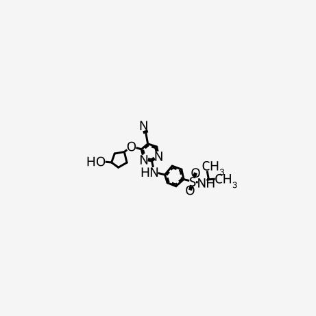 CC(C)NS(=O)(=O)c1ccc(Nc2ncc(C#N)c(OC3CCC(O)C3)n2)cc1